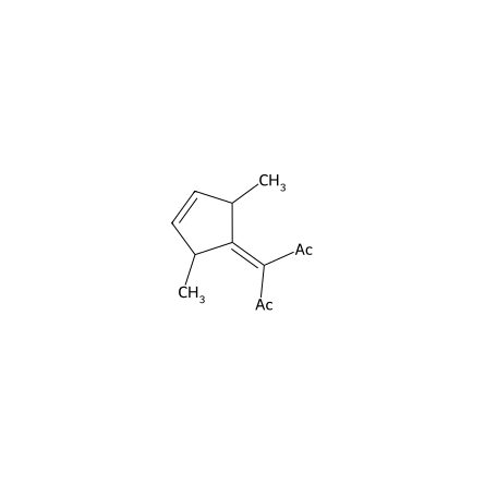 CC(=O)C(C(C)=O)=C1C(C)C=CC1C